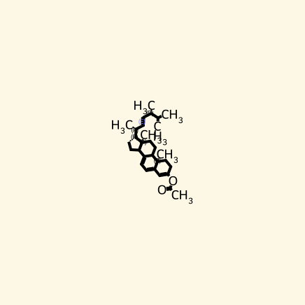 CC(=O)OC1=CC2=CC=C3C(CC[C@@]4(C)C3CC[C@@H]4[C@H](C)/C=C/[C@H](C)C(C)C)[C@@]2(C)CC1